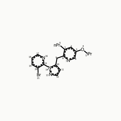 CCCc1cc(OC(C)C)cnc1Cc1ccnn1-c1ncccc1Br